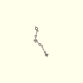 Cc1ccc(OCCCCOCCc2cc(CCC3=CCC(OCCCCCOCc4cc(C)on4)C=C3)on2)cc1